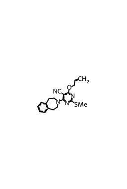 C=CCOc1nc(SC)nc(N2CCc3ccccc3CC2)c1C#N